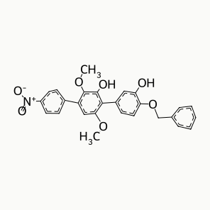 COc1cc(-c2ccc([N+](=O)[O-])cc2)c(OC)c(O)c1-c1ccc(OCc2ccccc2)c(O)c1